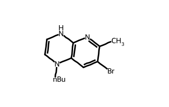 CCCCN1C=CNc2nc(C)c(Br)cc21